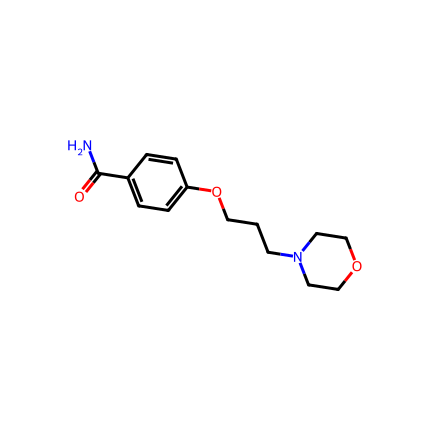 NC(=O)c1ccc(OCCCN2CCOCC2)cc1